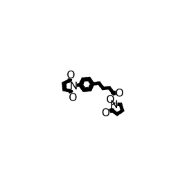 O=C(CCCc1ccc(N2C(=O)C=CC2=O)cc1)ON1CCCC1=O